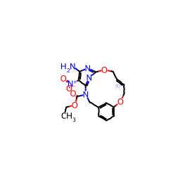 CCOC(=O)N1Cc2cccc(c2)OC/C=C/COc2nc(N)c([N+](=O)[O-])c1n2